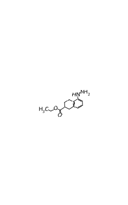 CCOC(=O)C1CCc2c(cccc2NN)C1